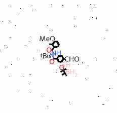 BC(C)(C)C(C)(C)OBc1cc(C(=O)N(NC(=O)c2cccc(OC)c2C)C(C)(C)C)ccc1C=O